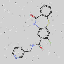 O=C(NCc1cccnc1)c1cc2c(cc1F)Sc1ccccc1C(=O)N2